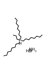 Br.CCCCCCCC[PH](CCC)(CCCCCCCC)CCCCCCCC.N